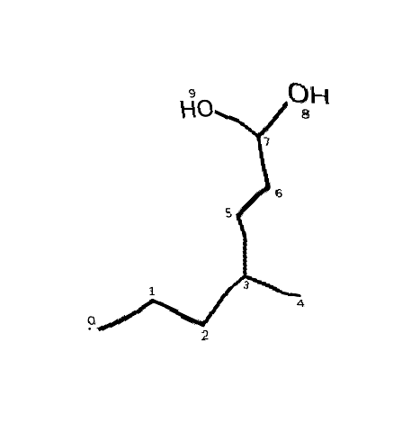 [CH2]CCC(C)CCC(O)O